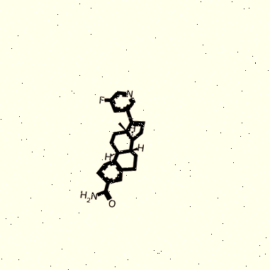 C[C@]12CC[C@@H]3c4ccc(C(N)=O)cc4CC[C@H]3[C@@H]1CC=C2c1cncc(F)c1